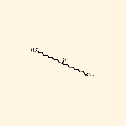 C=CCCCCCCCCC(=O)CCCCCCCCC=C